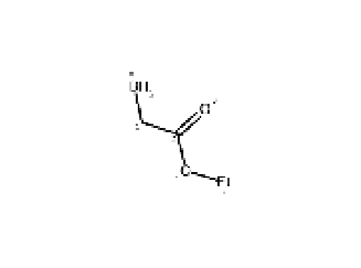 BCC(=O)OCC